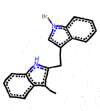 Cc1c(Cc2cn(Br)c3ccccc23)[nH]c2ccccc12